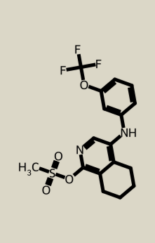 CS(=O)(=O)Oc1ncc(Nc2cccc(OC(F)(F)F)c2)c2c1CCCC2